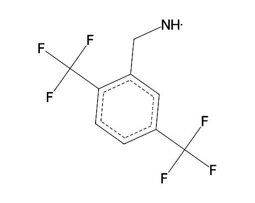 [NH]Cc1cc(C(F)(F)F)ccc1C(F)(F)F